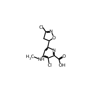 CNc1cc(C2CC(Cl)=NO2)nc(C(=O)O)c1Cl